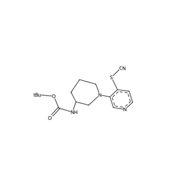 CC(C)(C)OC(=O)NC1CCCN(c2cnccc2SC#N)C1